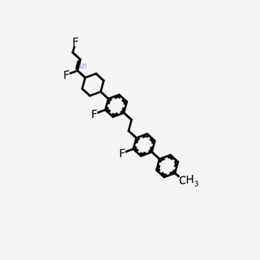 Cc1ccc(-c2ccc(CCc3ccc(C4CCC(/C(F)=C/CF)CC4)c(F)c3)c(F)c2)cc1